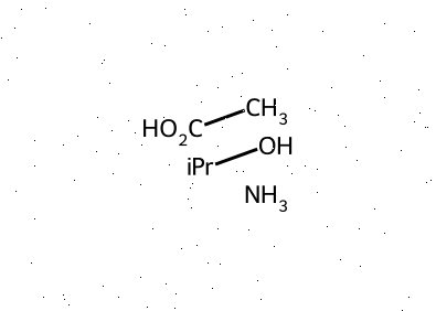 CC(=O)O.CC(C)O.N